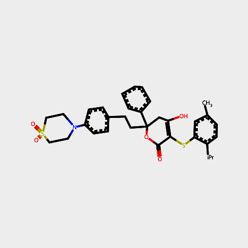 Cc1ccc(C(C)C)c(SC2=C(O)CC(CCc3ccc(N4CCS(=O)(=O)CC4)cc3)(c3ccccc3)OC2=O)c1